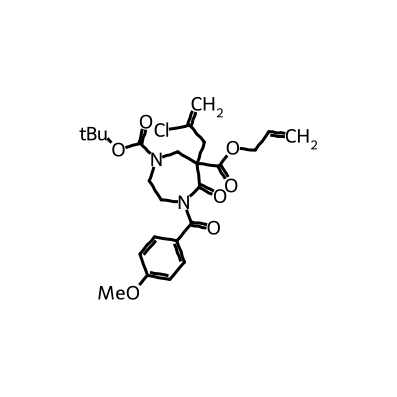 C=CCOC(=O)C1(CC(=C)Cl)CN(C(=O)OC(C)(C)C)CCN(C(=O)c2ccc(OC)cc2)C1=O